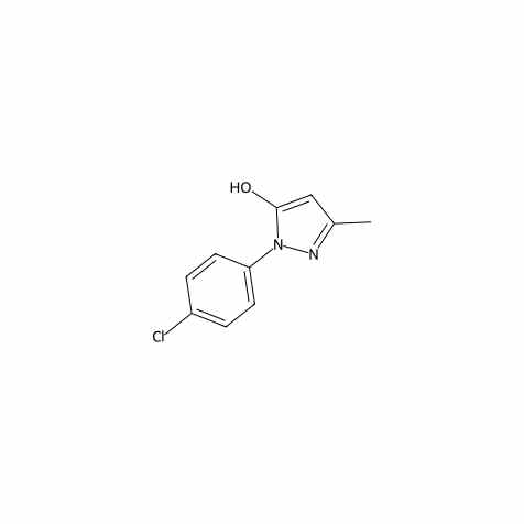 Cc1cc(O)n(-c2ccc(Cl)cc2)n1